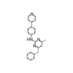 Cc1cc(Cc2ccccc2)nc(Nc2ccc(-c3ccncc3)cc2)n1